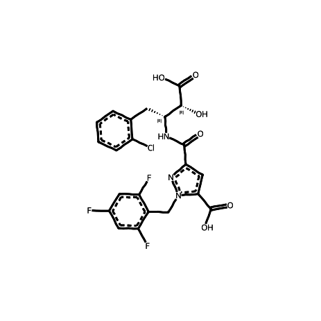 O=C(N[C@H](Cc1ccccc1Cl)[C@@H](O)C(=O)O)c1cc(C(=O)O)n(Cc2c(F)cc(F)cc2F)n1